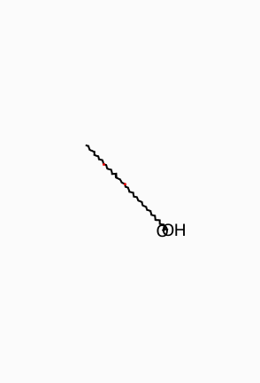 CCCCCCCCCCCCCC=CCCCCCCCCCCCCCCCCCCCCCC(=O)O